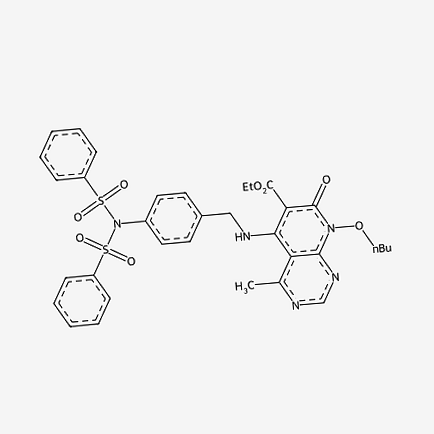 CCCCOn1c(=O)c(C(=O)OCC)c(NCc2ccc(N(S(=O)(=O)c3ccccc3)S(=O)(=O)c3ccccc3)cc2)c2c(C)ncnc21